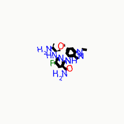 CCn1ncc2c(Nc3nc(N[C@H](COC)[C@H](C)N)c(F)cc3C(N)=O)cccc21